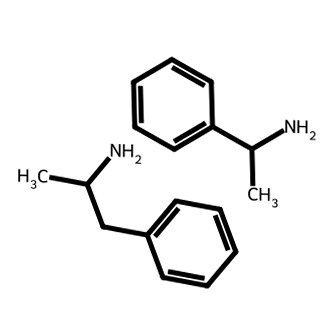 CC(N)Cc1ccccc1.CC(N)c1ccccc1